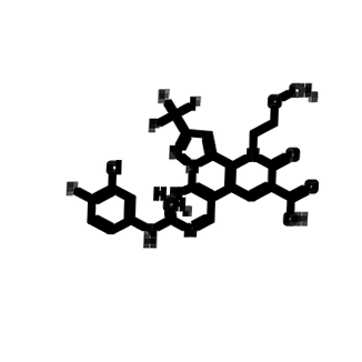 C=C(/N=C\c1c(N)n2nc(C(F)(F)F)cc2c2c1cc(C(=O)O)c(=O)n2CCOC)Nc1ccc(F)c(Cl)c1